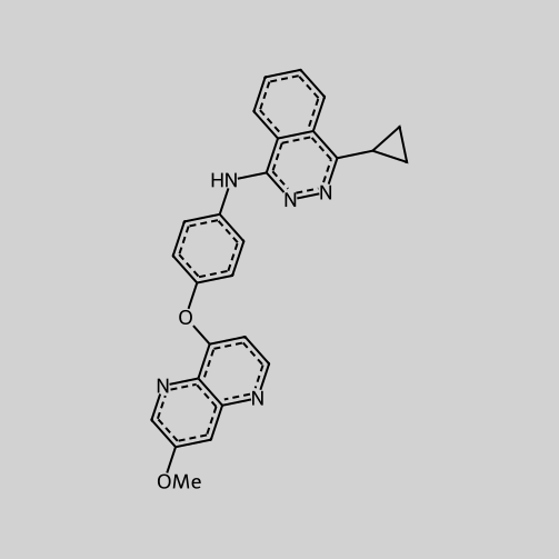 COc1cnc2c(Oc3ccc(Nc4nnc(C5CC5)c5ccccc45)cc3)ccnc2c1